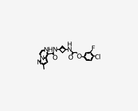 Cc1cc2c(C(=O)NC34CC(NC(=O)COc5ccc(Cl)c(F)c5)(C3)C4)nccn2n1